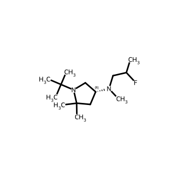 CC(F)CN(C)[C@H]1CN(C(C)(C)C)C(C)(C)C1